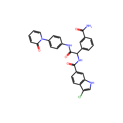 NC(=O)c1cccc(C(NC(=O)c2ccc3c(Cl)c[nH]c3c2)C(=O)Nc2ccc(-n3ccccc3=O)cc2)c1